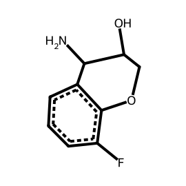 NC1c2cccc(F)c2OCC1O